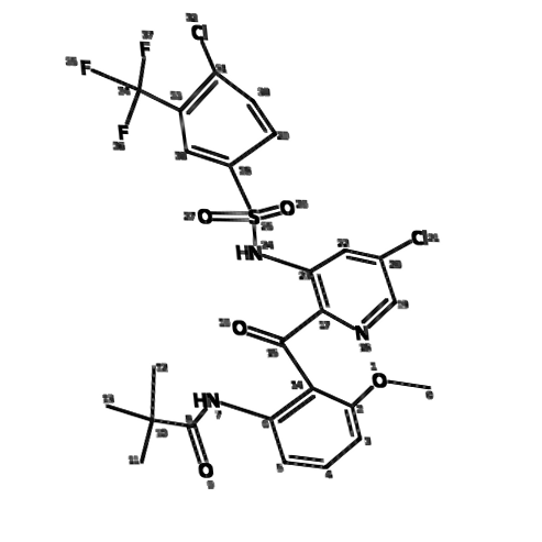 COc1cccc(NC(=O)C(C)(C)C)c1C(=O)c1ncc(Cl)cc1NS(=O)(=O)c1ccc(Cl)c(C(F)(F)F)c1